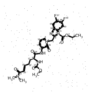 CCOC(=O)n1c(Cn2cccc(NC(=O)[C@H](CC/C=C/C(=O)N(C)C)NC(=O)OC)c2=O)nc2cc(F)c(F)cc21